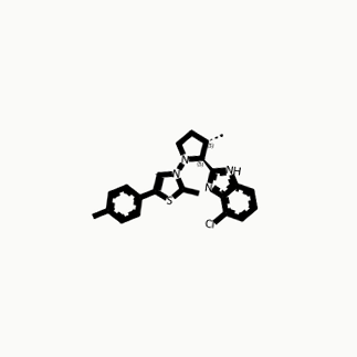 Cc1ccc(C2=[C]N(N3CC[C@H](C)[C@H]3c3nc4c(Cl)cccc4[nH]3)C(C)S2)cc1